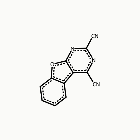 N#Cc1nc(C#N)c2c(n1)oc1ccccc12